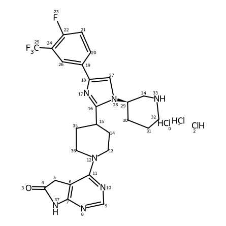 Cl.Cl.Cl.O=C1Cc2c(ncnc2N2CCC(c3nc(-c4ccc(F)c(C(F)(F)F)c4)cn3[C@@H]3CCCNC3)CC2)N1